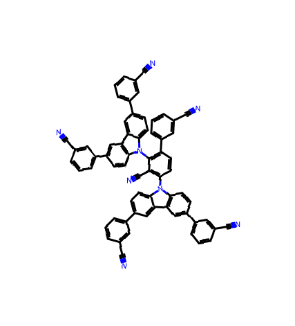 N#Cc1cccc(-c2ccc3c(c2)c2cc(-c4cccc(C#N)c4)ccc2n3-c2ccc(-c3cccc(C#N)c3)c(-n3c4ccc(-c5cccc(C#N)c5)cc4c4cc(-c5cccc(C#N)c5)ccc43)c2C#N)c1